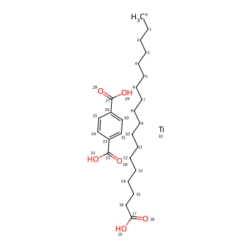 CCCCCCCCCCCCCCCCCC(=O)O.O=C(O)c1ccc(C(=O)O)cc1.[Ti]